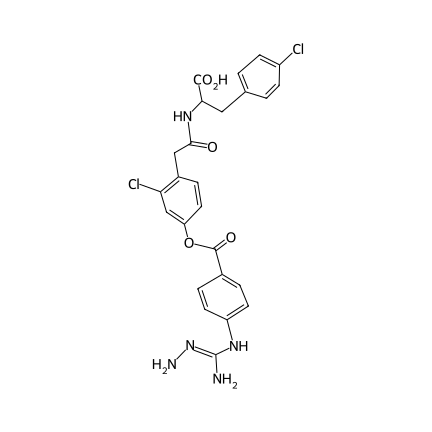 NN=C(N)Nc1ccc(C(=O)Oc2ccc(CC(=O)NC(Cc3ccc(Cl)cc3)C(=O)O)c(Cl)c2)cc1